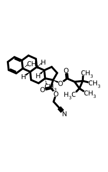 CC1(C)C(C(=O)O[C@]2(C(=O)OCC#N)CC[C@H]3[C@@H]4CCC5=CCC=C[C@]5(C)[C@H]4CC[C@@]32C)C1(C)C